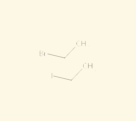 CCBr.CCI